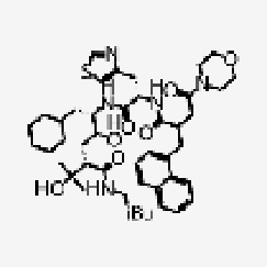 CCC(C)CNC(=O)[C@@H](C[C@H](O)[C@H](CC1CCCCC1)NC(=O)[C@H](Cc1cscn1)NC(=O)C(CC(=O)N1CCOCC1)Cc1cccc2ccccc12)C(C)(C)O